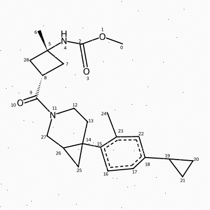 COC(=O)N[C@]1(C)C[C@H](C(=O)N2CCC3(c4ccc(C5CC5)cc4C)CC3C2)C1